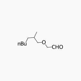 CCCCCC(C)COCC=O